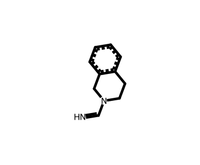 N=CN1CCc2ccccc2C1